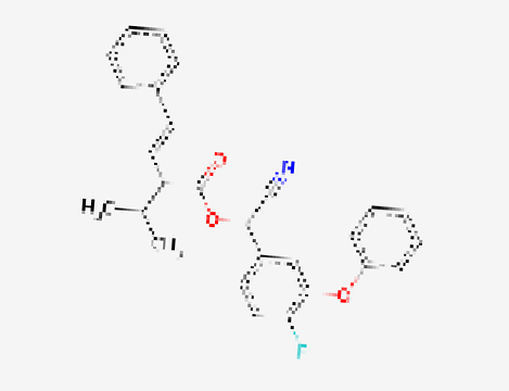 CC(C)C(C=Cc1ccccc1)C(=O)OC(C#N)c1ccc(F)c(Oc2ccccc2)c1